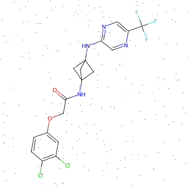 O=C(COc1ccc(Cl)c(Cl)c1)NC12CC(Nc3cnc(C(F)(F)F)cn3)(C1)C2